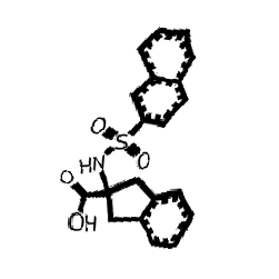 O=C(O)C1(NS(=O)(=O)c2ccc3ccccc3c2)Cc2ccccc2C1